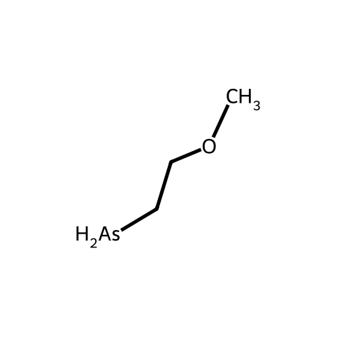 COCC[AsH2]